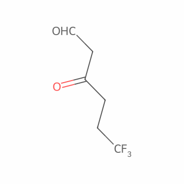 O=CCC(=O)CCC(F)(F)F